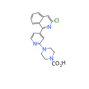 O=C(O)N1CCN(c2cc(-c3nc(Cl)cc4ccccc34)ccn2)CC1